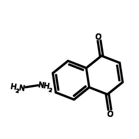 NN.O=C1C=CC(=O)c2ccccc21